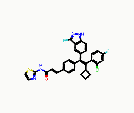 O=C(C=Cc1ccc(C(=C(c2ccc(F)cc2Cl)C2CCC2)c2ccc3[nH]nc(F)c3c2)cc1)Nc1nccs1